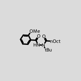 CCCCCCCCC(=O)N(NC(=O)c1ccccc1OC)C(C)(C)C